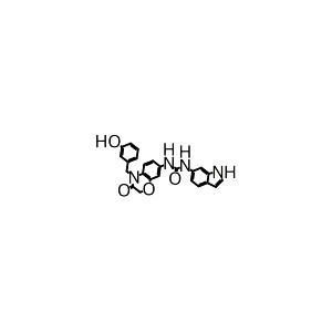 O=C(Nc1ccc2c(c1)OCC(=O)N2Cc1cccc(O)c1)Nc1ccc2cc[nH]c2c1